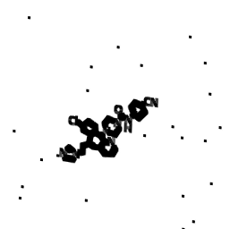 N#Cc1ccc(NC(=O)N2CCN(C3c4ccc(Cl)cc4C(CCn4ccnc4)=Cc4cccnc43)CC2)cc1